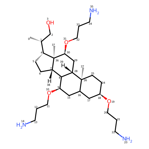 C[C@H](CO)[C@H]1CC[C@H]2C3[C@H](OCCCN)CC4C[C@H](OCCCN)CC[C@]4(C)[C@H]3C[C@H](OCCCN)[C@]12C